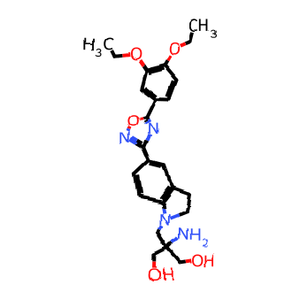 CCOc1ccc(-c2nc(-c3ccc4c(c3)CCN4CC(N)(CO)CO)no2)cc1OCC